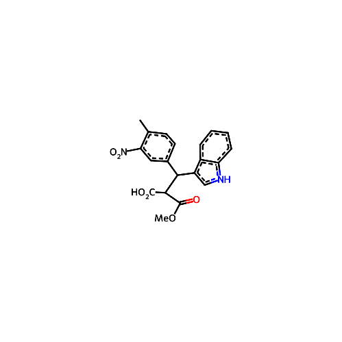 COC(=O)C(C(=O)O)C(c1ccc(C)c([N+](=O)[O-])c1)c1c[nH]c2ccccc12